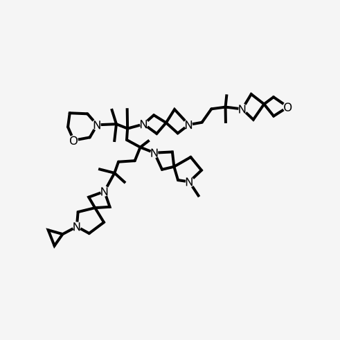 CN1CCC2(C1)CN(C(C)(CCC(C)(C)N1CC3(CCN(C4CC4)C3)C1)CC(C)(N1CC3(CN(CCC(C)(C)N4CC5(COC5)C4)C3)C1)C(C)(C)N1CCCOC1)C2